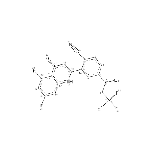 N#Cc1ccc([S+]([O-])CC(F)(F)F)cc1-c1cc(=O)c2c(F)cc(F)cc2[nH]1